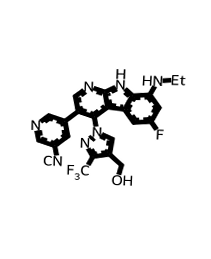 CCNc1cc(F)cc2c1[nH]c1ncc(-c3cncc(C#N)c3)c(-n3cc(CO)c(C(F)(F)F)n3)c12